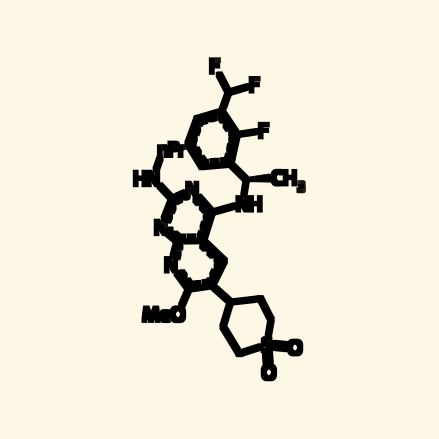 CCCNc1nc(N[C@H](C)c2cccc(C(F)F)c2F)c2cc(C3CCS(=O)(=O)CC3)c(OC)nc2n1